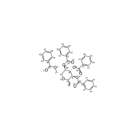 O=C(OC[C@H]1O[C@H](F)[C@H](OC(=O)c2ccccc2)[C@@H](OC(=O)c2ccccc2)[C@@H]1OC(=O)c1ccccc1)c1ccccc1